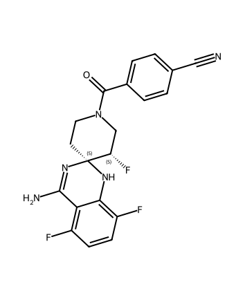 N#Cc1ccc(C(=O)N2CC[C@]3(N=C(N)c4c(F)ccc(F)c4N3)[C@@H](F)C2)cc1